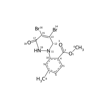 COC(=O)c1ccc(C)cc1N1CC(Br)=C(Br)C(=O)N1